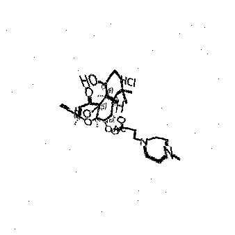 C=C[C@@]1(C)CC(=O)[C@]2(O)[C@@]3(C)[C@@H](O)CCC(C)(C)[C@@H]3[C@H](OC(=O)CCN3CCN(C)CC3)[C@H](OC(C)=O)[C@@]2(C)O1.Cl